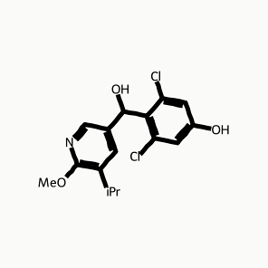 COc1ncc(C(O)c2c(Cl)cc(O)cc2Cl)cc1C(C)C